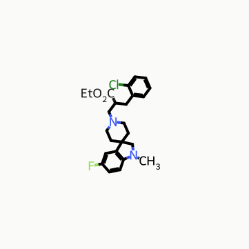 CCOC(=O)C(Cc1ccccc1Cl)CN1CCC2(CC1)CN(C)c1ccc(F)cc12